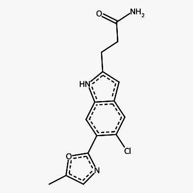 Cc1cnc(-c2cc3[nH]c(CCC(N)=O)cc3cc2Cl)o1